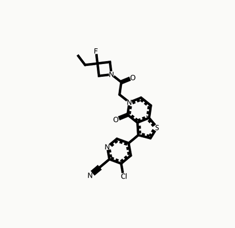 CCC1(F)CN(C(=O)Cn2ccc3scc(-c4cnc(C#N)c(Cl)c4)c3c2=O)C1